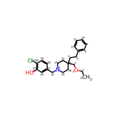 CCOCC1(CCc2ccccc2)CCN(Cc2ccc(Cl)c(O)c2)CC1